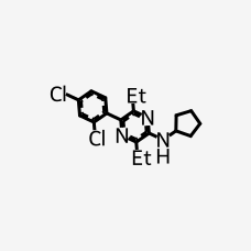 CCc1nc(-c2ccc(Cl)cc2Cl)c(CC)nc1NC1CCCC1